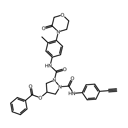 C#Cc1ccc(NC(=O)N2CC(OC(=O)c3ccccc3)CN2C(=O)Nc2ccc(N3CCOCC3=O)c(C)c2)cc1